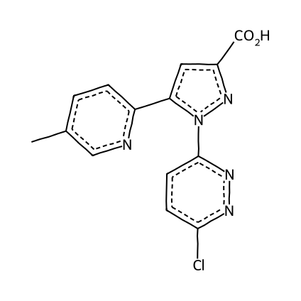 Cc1ccc(-c2cc(C(=O)O)nn2-c2ccc(Cl)nn2)nc1